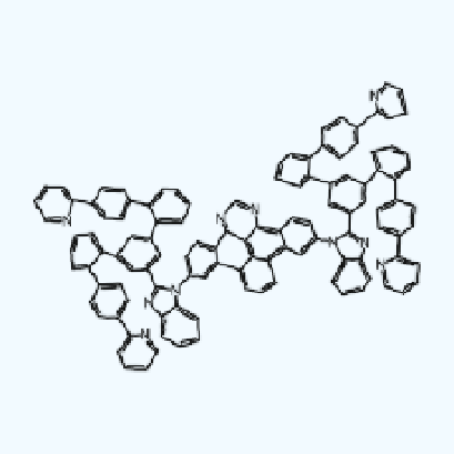 c1ccc(-c2ccc(-c3ccccc3-c3cc(-c4ccccc4-c4ccc(-c5ccccn5)cc4)cc(-c4nc5ccccc5n4-c4ccc5c(c4)c4cccc6c7cc(-n8c(-c9cc(-c%10ccccc%10-c%10ccc(-c%11ccccn%11)cc%10)cc(-c%10ccccc%10-c%10ccc(-c%11ccccn%11)cc%10)c9)nc9ccccc98)ccc7c7ncnc5c7c46)c3)cc2)nc1